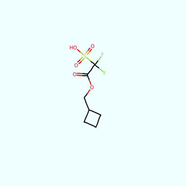 O=C(OCC1CCC1)C(F)(F)S(=O)(=O)O